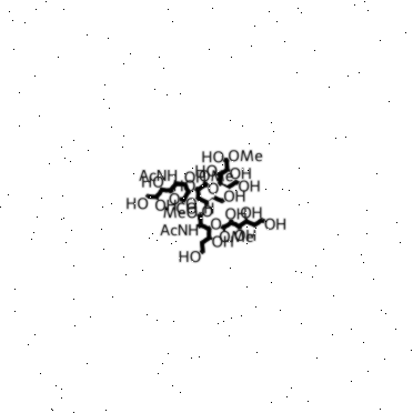 COC(O[C@H](CCO)C(O)[C@H](O)C(O)OC)C(O)C(O[C@]1(C(=O)O)CC(O)[C@@H](NC(C)=O)C([C@H](O)[C@H](O)CO)O1)[C@H](CCO)O[C@H](OC)C(NC(C)=O)C(O[C@H](OC)C(O)C(O)[C@@H](O)CCO)[C@@H](O)CCO